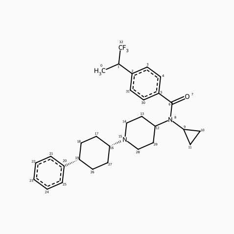 CC(c1ccc(C(=O)N(C2CC2)C2CCN([C@H]3CC[C@@H](c4ccccc4)CC3)CC2)cc1)C(F)(F)F